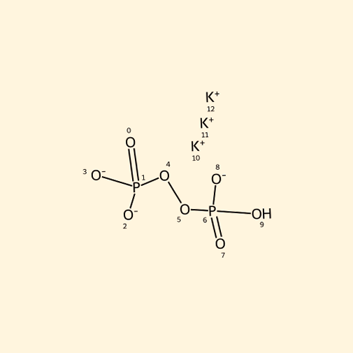 O=P([O-])([O-])OOP(=O)([O-])O.[K+].[K+].[K+]